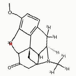 [2H]C1([2H])c2ccc(OC)c3c2[C@]24CCN(C([2H])([2H])[2H])[C@H]1[C@]2([2H])CCC(=O)C4([2H])O3